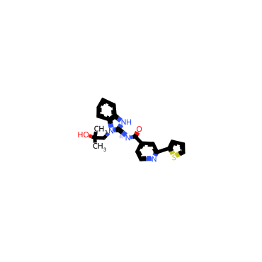 CC(C)(O)Cn1/c(=N/C(=O)c2ccnc(-c3cccs3)c2)[nH]c2ccccc21